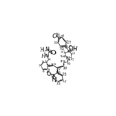 NC(=O)NCC1C=CC=C2Oc3ncccc3C(=CCCN3CCC(O)(c4ccc(Cl)cc4)CC3)C=C21